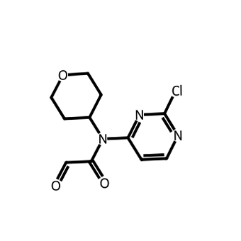 O=CC(=O)N(c1ccnc(Cl)n1)C1CCOCC1